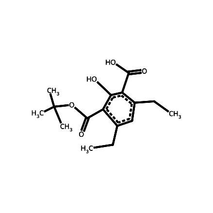 CCc1cc(CC)c(C(=O)OC(C)(C)C)c(O)c1C(=O)O